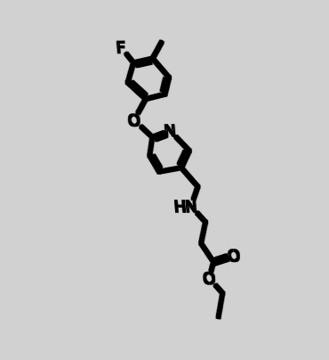 CCOC(=O)CCNCc1ccc(Oc2ccc(C)c(F)c2)nc1